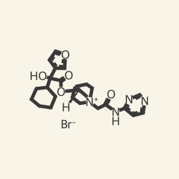 O=C(C[N+]12CCC(CC1)[C@@H](OC(=O)C(O)(c1ccoc1)C1CCCCC1)C2)Nc1ccncn1.[Br-]